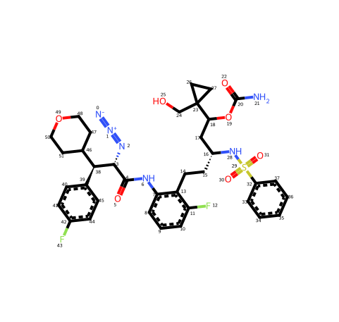 [N-]=[N+]=N[C@H](C(=O)Nc1cccc(F)c1CC[C@H](CC(OC(N)=O)C1(CO)CC1)NS(=O)(=O)c1ccccc1)[C@@H](c1ccc(F)cc1)C1CCOCC1